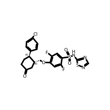 O=C1CC[C@@H](c2ccc(Cl)cc2)[C@H](COc2cc(F)c(S(=O)(=O)Nc3ncns3)cc2F)C1